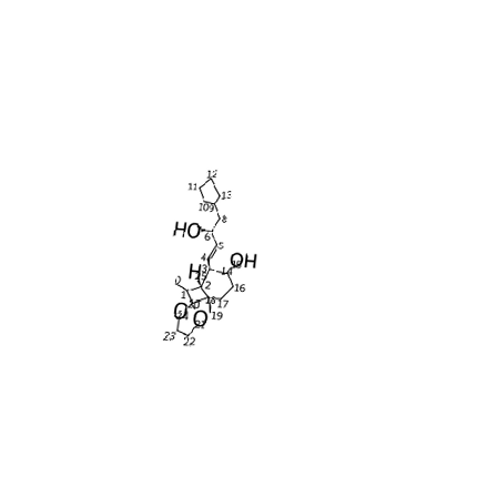 CC1[C@@H]2[C@@H](/C=C/[C@@H](O)CC3CCCC3)[C@H](O)CC[C@]2(C)C12OCCO2